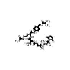 CC(C)C(=O)OCc1ccc(NC(=O)[C@H](CCCNC(N)=O)NC(=O)C(NC(=O)CCC(C)(C)OCCC(C)(C)N2C(=O)C=CC2=O)C(C)C)cc1